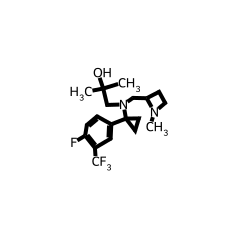 CN1CCC1CN(CC(C)(C)O)C1(c2ccc(F)c(C(F)(F)F)c2)CC1